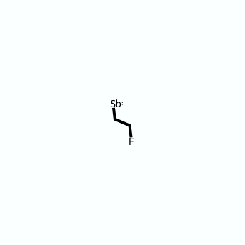 FC[CH2][Sb]